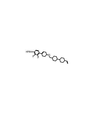 C=CC1CCC(C2CCC(COC3CC=C(c4ccc(CCCCCC)c(F)c4F)CC3)CC2)CC1